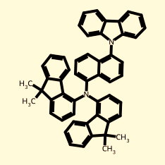 CC1(C)c2ccccc2-c2c(N(c3cccc4c3-c3ccccc3C4(C)C)c3cccc4c(-n5c6ccccc6c6ccccc65)cccc34)cccc21